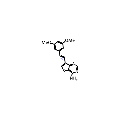 COc1cc(/C=C/c2csc3c(N)ncnc23)cc(OC)c1